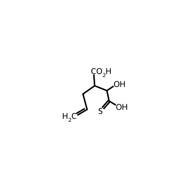 C=CCC(C(=O)O)C(O)C(O)=S